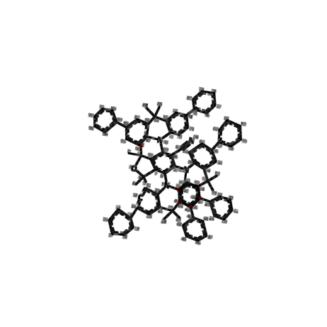 CC1(C)OC(C)(C)c2c(N3c4ccc(-c5ccccc5)cc4C(C)(C)c4cc(-c5ccccc5)ccc43)c(N3c4ccc(-c5ccccc5)cc4C(C)(C)c4cc(-c5ccccc5)ccc43)c(C#N)c(N3c4ccc(-c5ccccc5)cc4C(C)(C)c4cc(-c5ccccc5)ccc43)c21